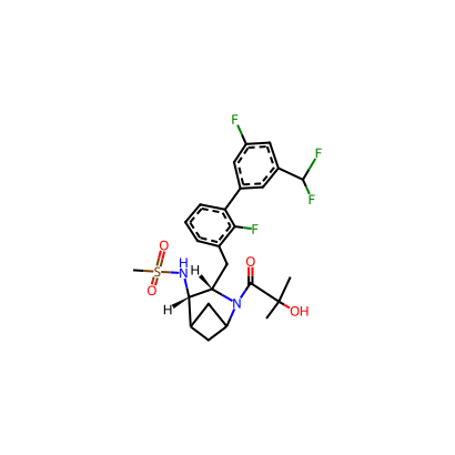 CC(C)(O)C(=O)N1C2CC(C2)[C@H](NS(C)(=O)=O)[C@@H]1Cc1cccc(-c2cc(F)cc(C(F)F)c2)c1F